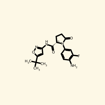 CC(C)(C)c1cc(NC(=O)[C@@H]2CCC(=O)N2c2ccc(N)c(F)c2)no1